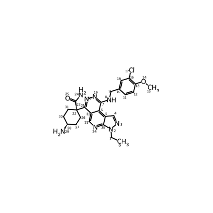 CCn1ncc2c3c(NCc4ccc(OC)c(Cl)c4)nnc([C@]4(C(N)=O)CC[C@@H](N)CC4)c3cnc21